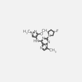 COc1nn(C)cc1Nc1nc(N2CC[C@H](F)C2)nn2c(C)cnc12